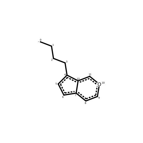 [CH2]CCCc1ccc2ccocc1-2